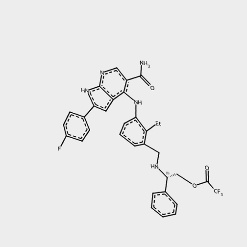 CCc1c(CN[C@H](COC(=O)C(F)(F)F)c2ccccc2)cccc1Nc1c(C(N)=O)cnc2[nH]c(-c3ccc(F)cc3)cc12